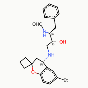 CCc1ccc2c(c1)[C@@H](NC[C@@H](O)[C@H](Cc1ccccc1)NC=O)CC1(CCC1)O2